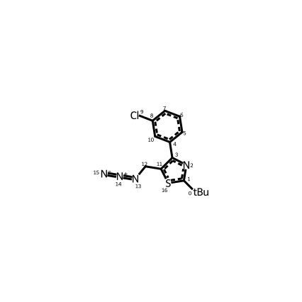 CC(C)(C)c1nc(-c2cccc(Cl)c2)c(CN=[N+]=[N-])s1